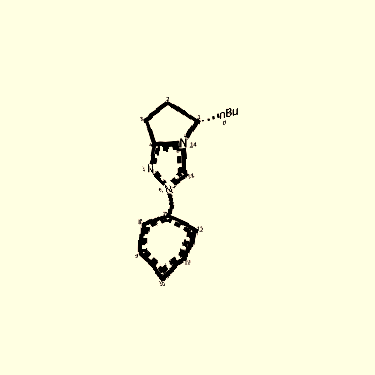 CCCC[C@H]1CCc2n[n+](-c3ccccc3)cn21